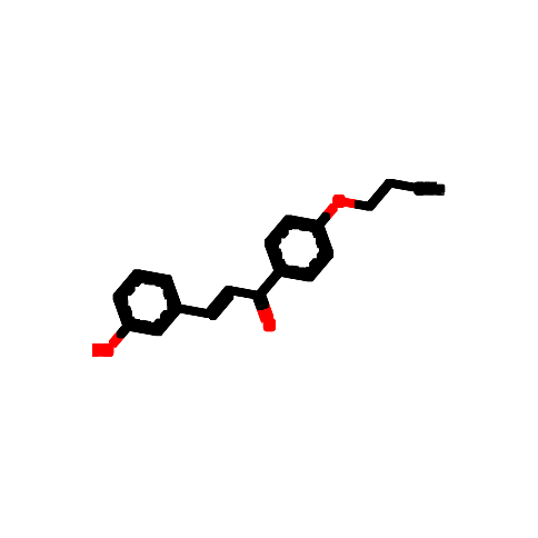 COCCOc1ccc(C(=O)/C=C/c2cccc(O)c2)cc1